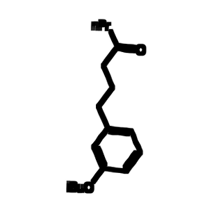 CCCC(=O)CCCc1cccc(OCC(C)C)c1